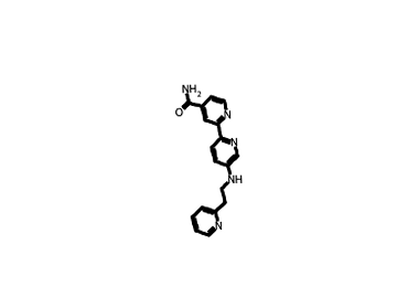 NC(=O)c1ccnc(-c2ccc(NCCc3ccccn3)cn2)c1